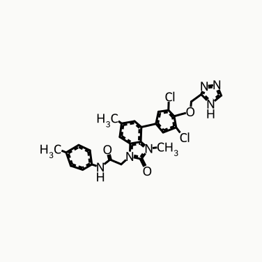 Cc1ccc(NC(=O)Cn2c(=O)n(C)c3c(-c4cc(Cl)c(OCc5nnc[nH]5)c(Cl)c4)cc(C)cc32)cc1